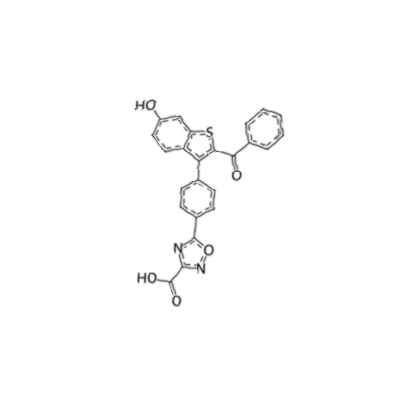 O=C(O)c1noc(-c2ccc(-c3c(C(=O)c4ccccc4)sc4cc(O)ccc34)cc2)n1